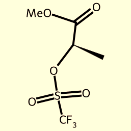 COC(=O)[C@@H](C)OS(=O)(=O)C(F)(F)F